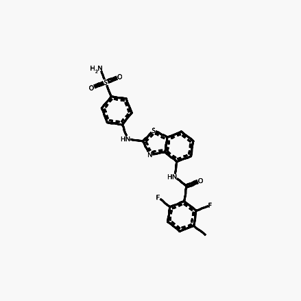 Cc1ccc(F)c(C(=O)Nc2cccc3sc(Nc4ccc(S(N)(=O)=O)cc4)nc23)c1F